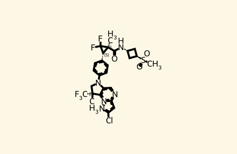 C[C@]1(C(=O)N[C@H]2C[C@H](S(C)(=O)=O)C2)[C@H](c2ccc(N3C[C@@](C)(C(F)(F)F)c4c3cnc3cc(Cl)nn43)cc2)C1(F)F